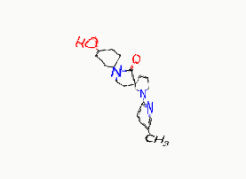 Cc1ccc(N2CCCC3(CCN(C4CCC(O)CC4)C3=O)C2)nc1